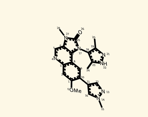 COc1cc2ncc3c(c2cc1-c1cnn(C)c1)n(-c1c(C)n[nH]c1C)c(=O)n3C